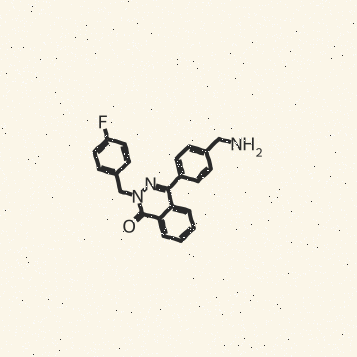 NCc1ccc(-c2nn(Cc3ccc(F)cc3)c(=O)c3ccccc23)cc1